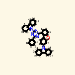 C1=Cc2c(n(-c3nc(-c4ccccc4)nc(-c4cccc5oc6cc(-n7c8ccccc8c8ccccc87)ccc6c45)n3)c3ccccc23)CC1